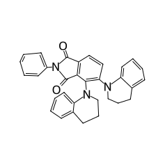 O=C1c2ccc(N3CCCc4ccccc43)c(N3CCCc4ccccc43)c2C(=O)N1c1ccccc1